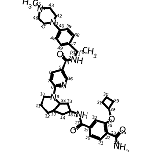 C[C@H](NC(=O)c1ccc(N2CCCC3CC(NC(=O)c4ccc(C(N)=O)c(OC5CCC5)c4)CC32)nc1)c1ccc(N2CCN(C)CC2)cc1